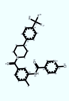 Cc1ccc(C(=O)N2CCC(c3ccc(C(F)(F)F)cc3)CC2)cc1NC(=O)c1ccc(Cl)nc1